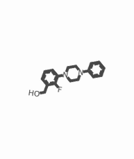 OCc1cccc(N2CCN(c3ccccc3)CC2)c1F